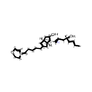 CCCC[C@@](C)(O)C/C=C/[C@@H]1[C@H]2CC(CCCCCN3CCOCC3)=C[C@H]2C[C@H]1O